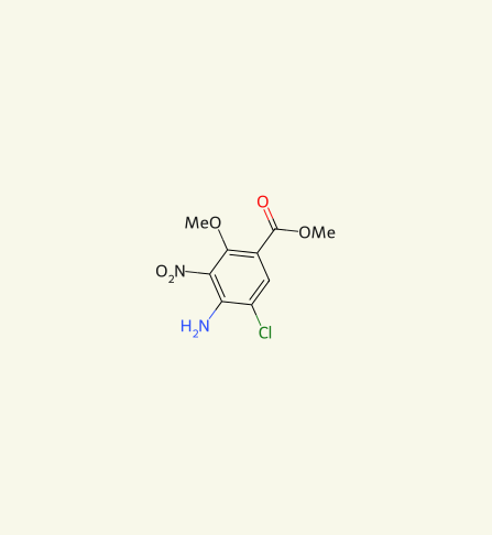 COC(=O)c1cc(Cl)c(N)c([N+](=O)[O-])c1OC